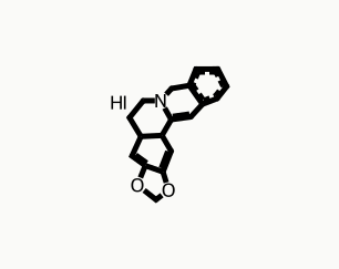 C1=C2OCOC2=CC2C3=Cc4ccccc4CN3CCC12.I